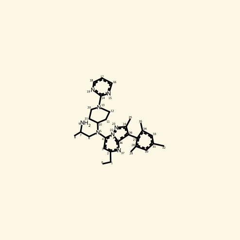 CCc1cc(N(CC(C)N)C2CCN(c3ncccn3)CC2)n2nc(C)c(-c3c(C)cc(C)cc3C)c2n1